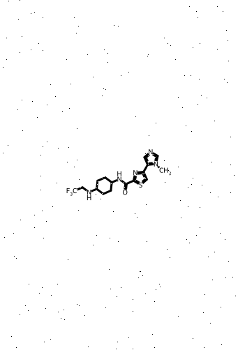 Cn1cncc1-c1csc(C(=O)NC2CCC(NCC(F)(F)F)CC2)n1